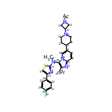 CCCc1nc2ccc(C3CCN(C4CN(C(C)=O)C4)CC3)cn2c1N(C)c1nc(-c2ccc(F)cc2)cs1